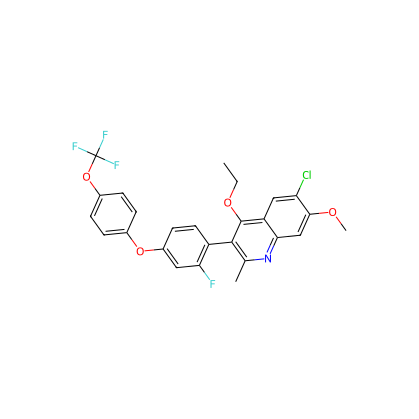 CCOc1c(-c2ccc(Oc3ccc(OC(F)(F)F)cc3)cc2F)c(C)nc2cc(OC)c(Cl)cc12